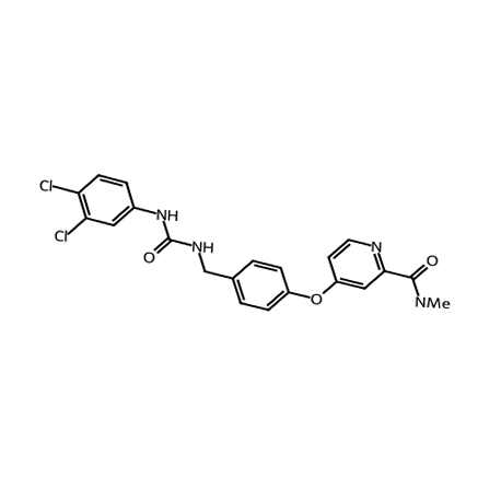 CNC(=O)c1cc(Oc2ccc(CNC(=O)Nc3ccc(Cl)c(Cl)c3)cc2)ccn1